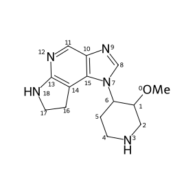 COC1CNCCC1n1cnc2cnc3c(c21)CCN3